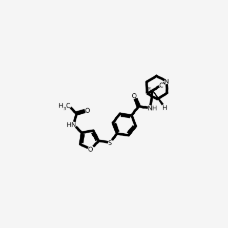 CC(=O)Nc1coc(Sc2ccc(C(=O)N[C@H]3CN4CCC3CC4)cc2)c1